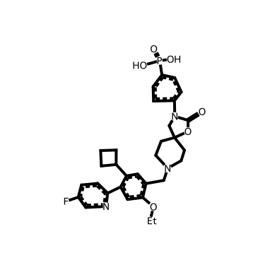 CCOc1cc(-c2ccc(F)cn2)c(C2CCC2)cc1CN1CCC2(CC1)CN(c1ccc(P(=O)(O)O)cc1)C(=O)O2